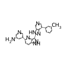 Cc1cccc(-c2cncc3[nH]c(-c4n[nH]c5ccc(-c6cncc(N)c6)nc45)nc23)c1